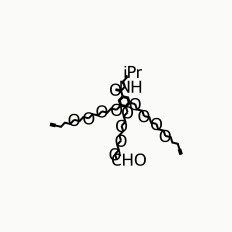 C#CCCCOCCOCCOCCOc1cc(C(=O)NCCC(C)C)cc(OCCOCCOCCOCCCC#C)c1OCCOCCOCCOC=O